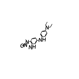 CCN(CC)c1ccc(Nc2ccc(N(C)N=O)c(NC)c2)cc1